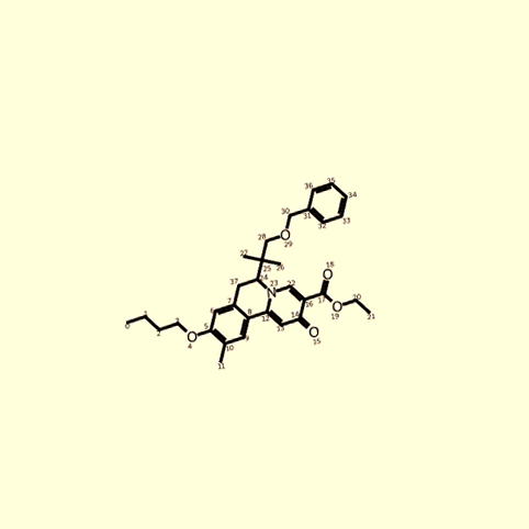 CCCCOc1cc2c(cc1C)-c1cc(=O)c(C(=O)OCC)cn1C(C(C)(C)COCc1ccccc1)C2